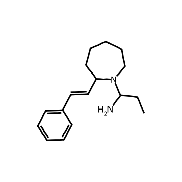 CCC(N)N1CCCCCC1/C=C/c1ccccc1